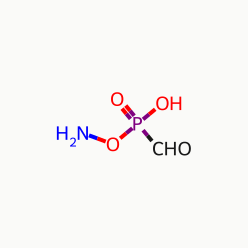 NOP(=O)(O)C=O